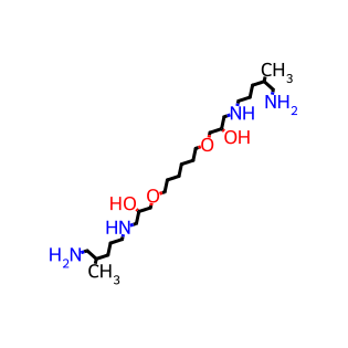 CC(CN)CCCNCC(O)COCCCCCCOCC(O)CNCCCC(C)CN